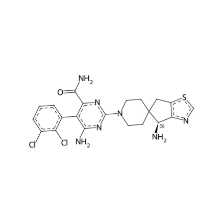 NC(=O)c1nc(N2CCC3(CC2)Cc2scnc2[C@H]3N)nc(N)c1-c1cccc(Cl)c1Cl